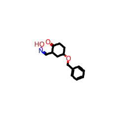 O=C1CCC(OCc2ccccc2)CC1/C=N\O